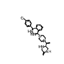 C=C1CNC(C(=C)N2CCN(C(=N)c3ccccc3C(=N)c3ccc(Cl)cc3)CC2)CN1